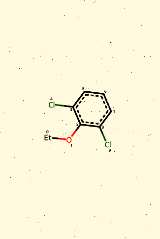 [CH2]COc1c(Cl)cccc1Cl